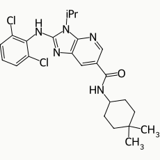 CC(C)n1c(Nc2c(Cl)cccc2Cl)nc2cc(C(=O)NC3CCC(C)(C)CC3)cnc21